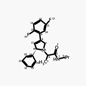 CC(C)NC(=O)C(C)N1CC(c2cc(F)ccc2F)=C[C@H]1c1ccccc1